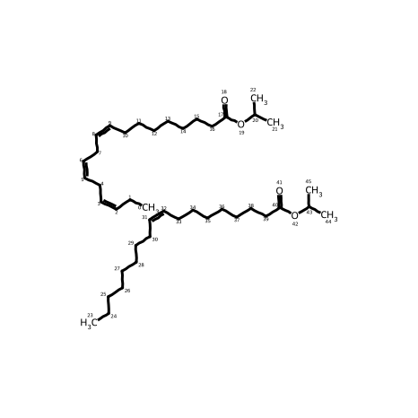 CC/C=C\C/C=C\C/C=C\CCCCCCCC(=O)OC(C)C.CCCCCCCC/C=C\CCCCCCCC(=O)OC(C)C